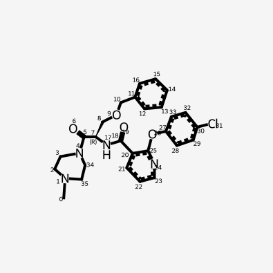 CN1CCN(C(=O)[C@@H](COCc2ccccc2)NC(=O)c2cccnc2Oc2ccc(Cl)cc2)CC1